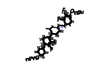 CCCCOc1ccc(/C=C/C2CCC(c3ccc(-c4ccc(OCCC)cc4)c(F)c3F)CC2)c(F)c1F